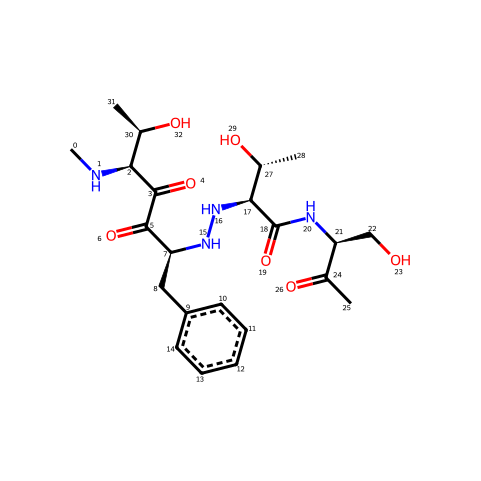 CN[C@H](C(=O)C(=O)[C@H](Cc1ccccc1)NN[C@H](C(=O)N[C@@H](CO)C(C)=O)[C@@H](C)O)[C@@H](C)O